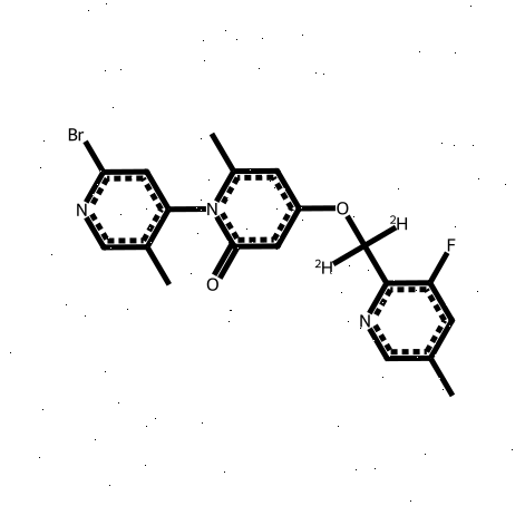 [2H]C([2H])(Oc1cc(C)n(-c2cc(Br)ncc2C)c(=O)c1)c1ncc(C)cc1F